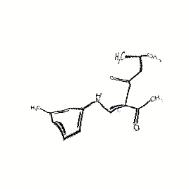 CC(=O)/C(=C/Nc1cccc(C)c1)C(=O)CC(C)C